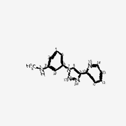 CNc1cccc(-n2cc(-c3ccccn3)nn2)c1